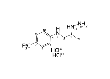 CC(CNc1ccc(C(F)(F)F)cc1)NN.Cl.Cl